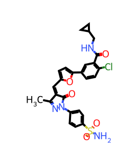 CC1=NN(c2ccc(S(N)(=O)=O)cc2)C(=O)C1=Cc1ccc(-c2ccc(Cl)c(C(=O)NCC3CC3)c2)o1